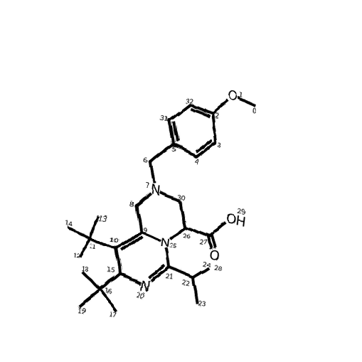 COc1ccc(CN2CC3=C(C(C)(C)C)C(C(C)(C)C)N=C(C(C)C)N3C(C(=O)O)C2)cc1